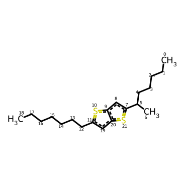 CC[CH]CCC(C)c1cc2sc(CCCCCCC)cc2s1